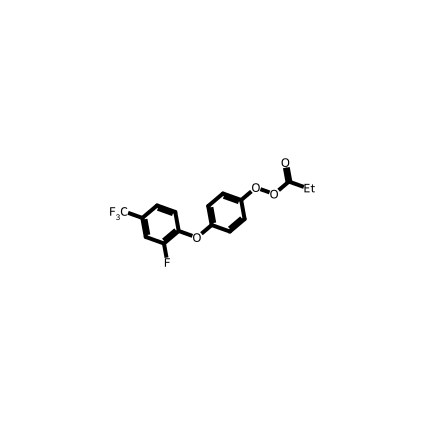 CCC(=O)OOc1ccc(Oc2ccc(C(F)(F)F)cc2F)cc1